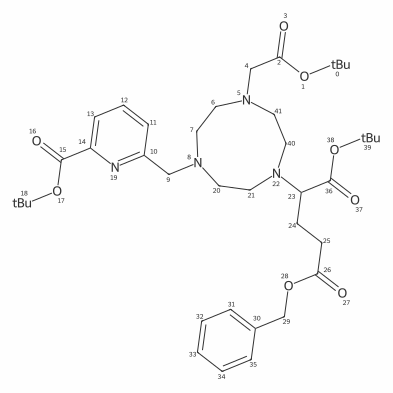 CC(C)(C)OC(=O)CN1CCN(Cc2cccc(C(=O)OC(C)(C)C)n2)CCN(C(CCC(=O)OCc2ccccc2)C(=O)OC(C)(C)C)CC1